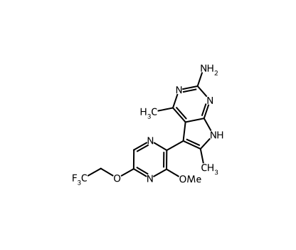 COc1nc(OCC(F)(F)F)cnc1-c1c(C)[nH]c2nc(N)nc(C)c12